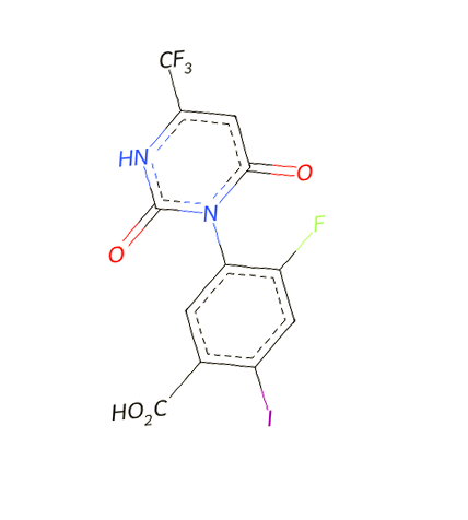 O=C(O)c1cc(-n2c(=O)cc(C(F)(F)F)[nH]c2=O)c(F)cc1I